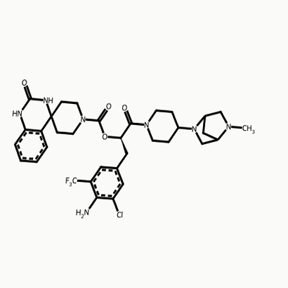 CN1CC2CC1CN2C1CCN(C(=O)[C@@H](Cc2cc(Cl)c(N)c(C(F)(F)F)c2)OC(=O)N2CCC3(CC2)NC(=O)Nc2ccccc23)CC1